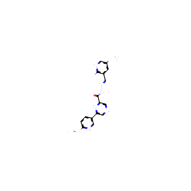 CCOc1ccc(-c2cncc(C(=O)N/N=C/c3cc(OC)cnc3F)n2)cn1